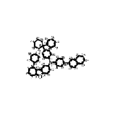 c1ccc(-c2cccc3oc4ccc(N(c5ccc(-c6ccc7ccccc7c6)cc5)c5ccc(C6(c7ccccc7)CCCCC6)cc5)cc4c23)cc1